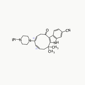 CC(C)N1CCN(C2=C/CC(=O)c3c([nH]c4cc(C#N)ccc34)C(C)(C)C/C=C\2)CC1